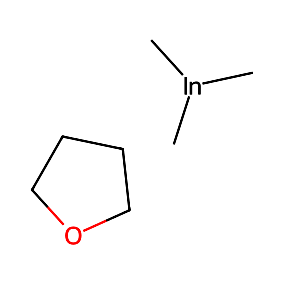 C1CCOC1.[CH3][In]([CH3])[CH3]